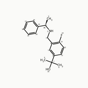 C[C@@H](NCc1cc(C(C)(C)O)ccc1F)c1ccccc1